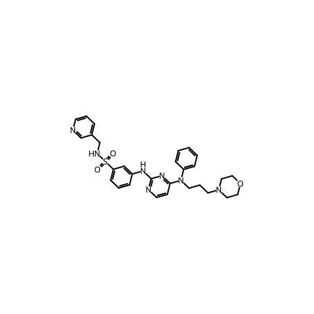 O=S(=O)(NCc1cccnc1)c1cccc(Nc2nccc(N(CCCN3CCOCC3)c3ccccc3)n2)c1